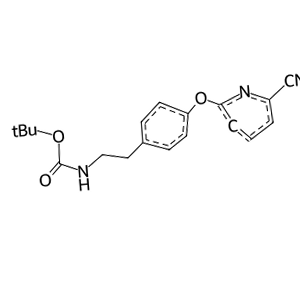 CC(C)(C)OC(=O)NCCc1ccc(Oc2cccc(C#N)n2)cc1